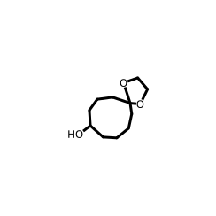 OC1CCCCC2(CCC1)OCCO2